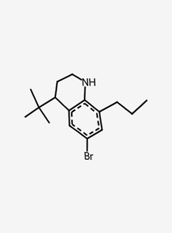 CCCc1cc(Br)cc2c1NCCC2C(C)(C)C